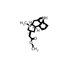 CCOC(=O)/C=C1\C[C@@H]2c3cccc4[nH]cc(c34)C[C@H]2N(C)C1